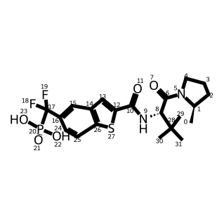 C[C@@H]1CCCN1C(=O)[C@@H](NC(=O)c1cc2cc(C(F)(F)P(=O)(O)O)ccc2s1)C(C)(C)C